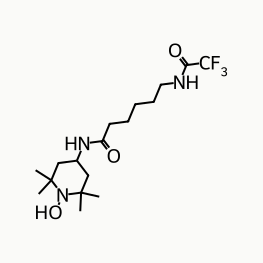 CC1(C)CC(NC(=O)CCCCCNC(=O)C(F)(F)F)CC(C)(C)N1O